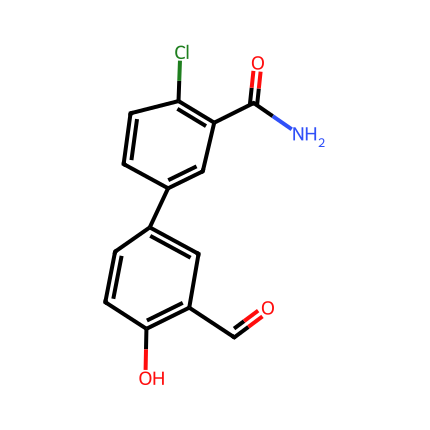 NC(=O)c1cc(-c2ccc(O)c(C=O)c2)ccc1Cl